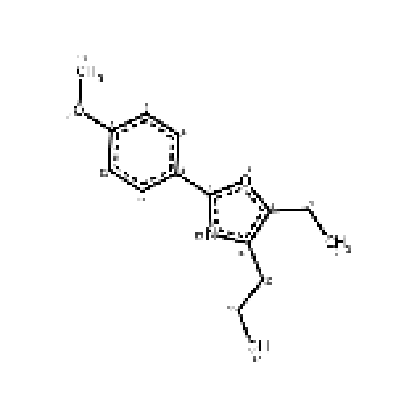 CCc1oc(-c2ccc(OC)cc2)nc1CCO